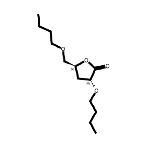 CCCCOC[C@@H]1C[C@@H](OCCCC)C(=O)O1